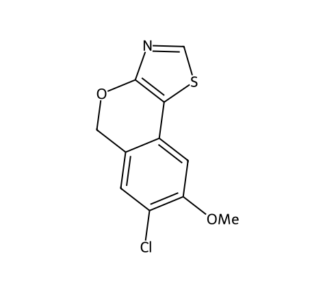 COc1cc2c(cc1Cl)COc1ncsc1-2